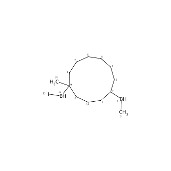 CBC1CCCCCCC(C)(BI)CCC1